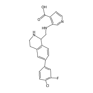 O=C(O)c1ccncc1NCC1NCCc2cc(-c3ccc(Cl)c(F)c3)ccc21